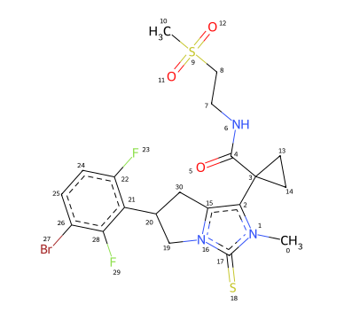 Cn1c(C2(C(=O)NCCS(C)(=O)=O)CC2)c2n(c1=S)CC(c1c(F)ccc(Br)c1F)C2